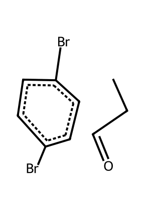 Brc1ccc(Br)cc1.CCC=O